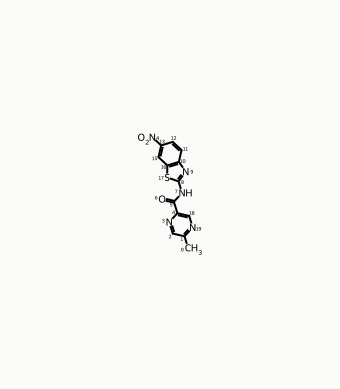 Cc1cnc(C(=O)Nc2nc3ccc([N+](=O)[O-])cc3s2)cn1